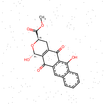 COC(=O)[C@H]1CC2=C(C(=O)c3cc4ccccc4c(O)c3C2=O)[C@H](O)O1